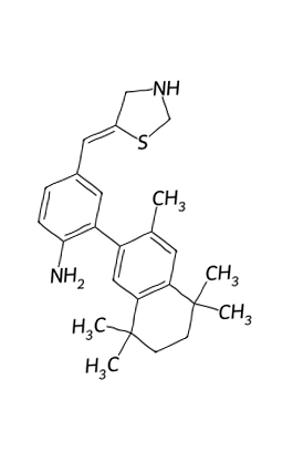 Cc1cc2c(cc1-c1cc(C=C3CNCS3)ccc1N)C(C)(C)CCC2(C)C